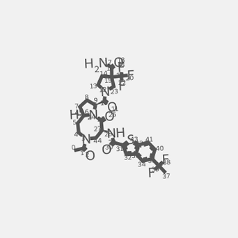 CC(=O)N1CC[C@H]2CC[C@@H](C(=O)N3CCC(C(N)=O)(C(F)(F)F)C3)N2C(=O)[C@@H](NC(=O)c2cc3cc(C(C)(F)F)ccc3s2)C1